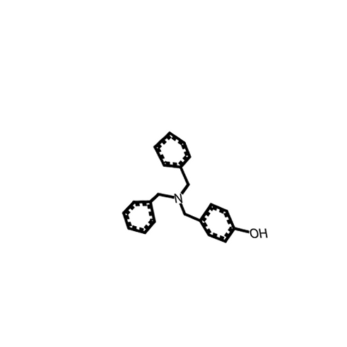 Oc1ccc(CN(Cc2ccccc2)Cc2ccccc2)cc1